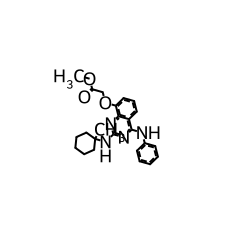 COC(=O)COc1cccc2c(Nc3ccccc3)nc(NC3(C)CCCCC3)nc12